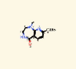 COc1ccc2c(n1)N(C)CCNC2=O